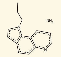 CCCn1ccc2ccc3ncccc3c21.N